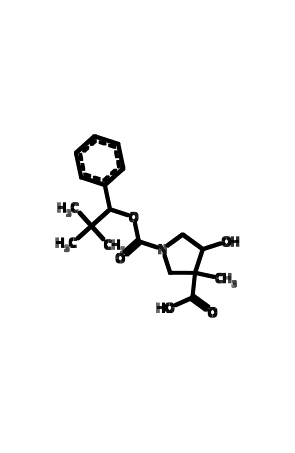 CC(C)(C)C(OC(=O)N1CC(O)C(C)(C(=O)O)C1)c1ccccc1